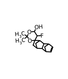 CC1(C)OC(O)C(F)C2(CC3CC2C2C4C=CC(C4)C32)O1